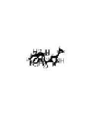 O=C(c1cc(C2CC2)[nH]n1)N1[C@H]2C[C@H]3CC[N@@](C2)C[C@H]31